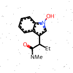 CCC(C(=O)NC)c1cn(O)c2ccccc12